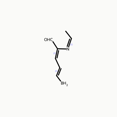 B/C=C/C=C(C=O)\N=C/C